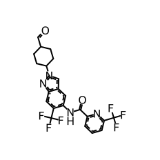 O=CC1CCC(n2cc3cc(NC(=O)c4cccc(C(F)(F)F)n4)c(C(F)(F)F)cc3n2)CC1